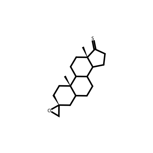 C[C@]12CC[C@]3(CO3)CC1CCC1C2CC[C@]2(C)C(=S)CCC12